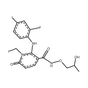 CC(O)CONC(=O)c1ccc(=O)n(CI)c1Nc1ccc(I)cc1F